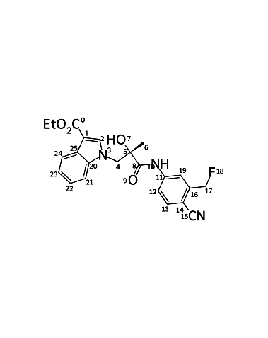 CCOC(=O)c1cn(C[C@](C)(O)C(=O)Nc2ccc(C#N)c(CF)c2)c2ccccc12